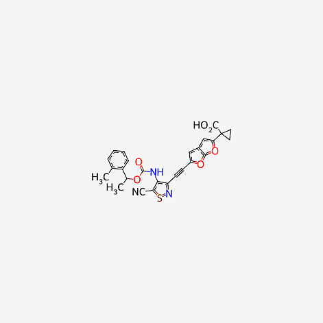 Cc1ccccc1C(C)OC(=O)Nc1c(C#Cc2cc3cc(C4(C(=O)O)CC4)oc3o2)nsc1C#N